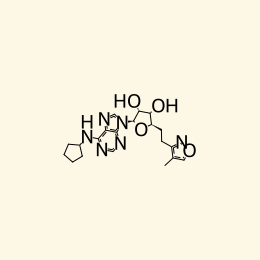 Cc1conc1CC[C@H]1O[C@@H](n2cnc3c(NC4CCCC4)ncnc32)[C@H](O)[C@@H]1O